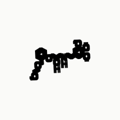 COCCOCc1ccccc1OCC(O)CNCCc1cc(OC)c(OC)c(OC)c1